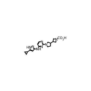 O=C(O)N1CC(C2CCN(c3nccc(Nc4cc(C5CC5)[nH]n4)n3)C2)C1